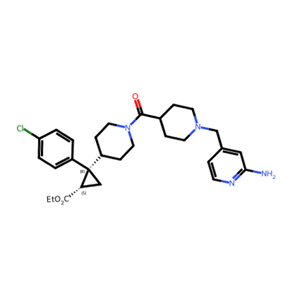 CCOC(=O)[C@H]1C[C@@]1(c1ccc(Cl)cc1)C1CCN(C(=O)C2CCN(Cc3ccnc(N)c3)CC2)CC1